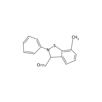 Cc1cccc2c1SN(c1ccccc1)C2C=O